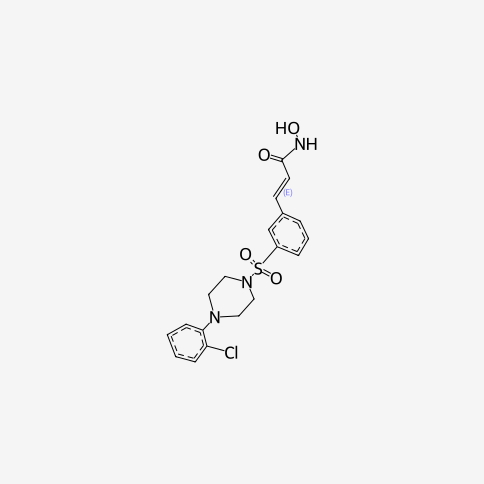 O=C(/C=C/c1cccc(S(=O)(=O)N2CCN(c3ccccc3Cl)CC2)c1)NO